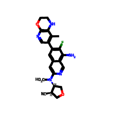 Cc1c(-c2cc3cc(N(C(=O)O)[C@@H]4COC[C@H]4C#N)ncc3c(N)c2F)cnc2c1NCCO2